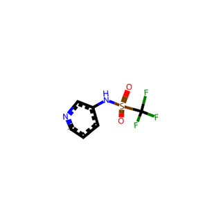 O=S(=O)(Nc1cc[c]nc1)C(F)(F)F